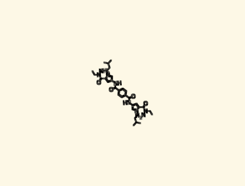 CCN(N)C(=O)c1cc(NC(=O)c2ccc(C(=O)Nc3cc(C(=O)N(N)CC)n(CCC(C)C)c3)cc2)cn1CCC(C)C